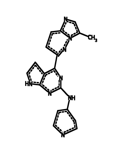 Cc1cnc2ccc(-c3nc(Nc4ccncc4)nc4[nH]ccc34)nn12